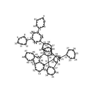 c1ccc(-c2nc(-c3ccccc3)nc(-c3ccc(-c4nc(-c5ccccc5)nc5c4C4(c6ccccc6-5)c5ccccc5-n5c6ccccc6c6cccc4c65)cc3)n2)cc1